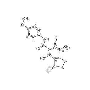 COc1cnc(NC(=O)c2c(O)c3c(n(C)c2=O)CC[C@H]3C)nc1